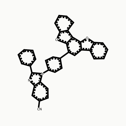 N#Cc1ccc2c(c1)nc(-c1ccccc1)n2-c1ccc(-c2cc3c4ccccc4oc3c3c2oc2ccccc23)cc1